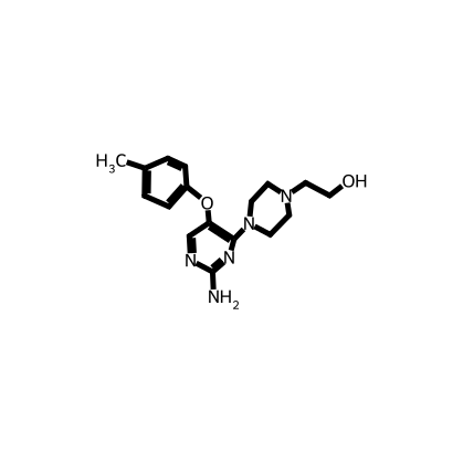 Cc1ccc(Oc2cnc(N)nc2N2CCN(CCO)CC2)cc1